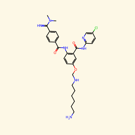 CN(C)C(=N)c1ccc(C(=O)Nc2ccc(OCNCCCCCCN)cc2C(=O)Nc2ccc(Cl)cn2)cc1